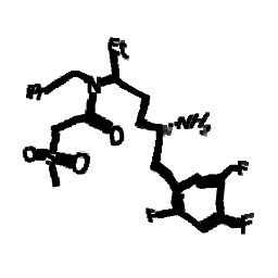 CCC(CC[C@H](N)Cc1cc(F)c(F)cc1F)N(CC(C)C)C(=O)CS(C)(=O)=O